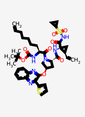 C=CCCCCC[C@H](NC(=O)OC(C)(C)C)C(=O)N1C[C@H](Oc2nc3ccccc3nc2-c2cccs2)C[C@H]1C(=O)N[C@]1(C(=O)NS(=O)(=O)C2CC2)C[C@H]1C=C